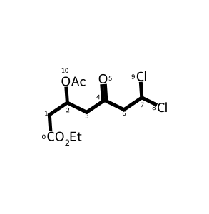 CCOC(=O)CC(CC(=O)CC(Cl)Cl)OC(C)=O